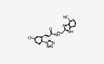 N#Cc1cccc2[nH]c(CCNC(=O)/C=C/c3cc(Cl)ccc3-n3cnnn3)nc12